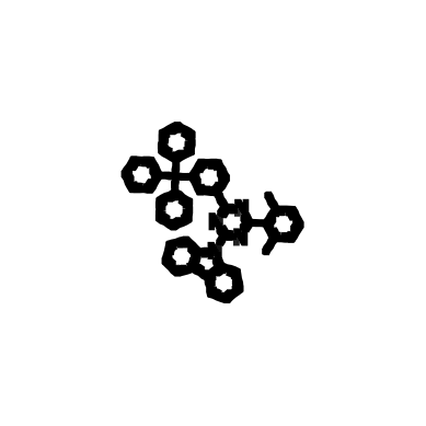 Cc1cccc(C)c1-c1nc(-c2cccc(C(c3ccccc3)(c3ccccc3)c3ccccc3)c2)nc(-n2c3ccccc3c3ccccc32)n1